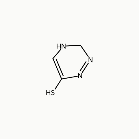 SC1=CNCN=N1